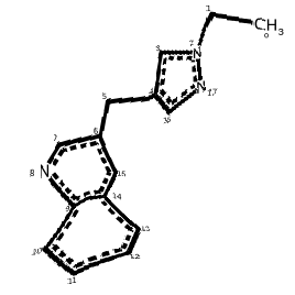 CCn1cc(Cc2cnc3ccccc3c2)cn1